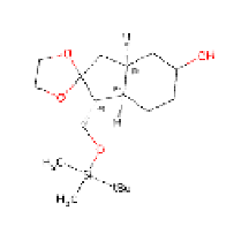 CC(C)(C)[Si](C)(C)OC[C@H]1[C@@H]2CCC(O)C[C@@H]2CC12OCCO2